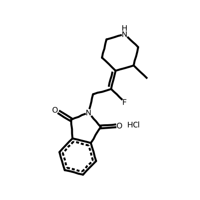 CC1CNCC/C1=C(/F)CN1C(=O)c2ccccc2C1=O.Cl